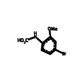 COc1cc(Br)ccc1NC(=O)O